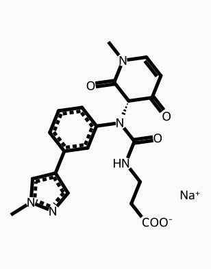 CN1C=CC(=O)[C@H](N(C(=O)NCCC(=O)[O-])c2cccc(-c3cnn(C)c3)c2)C1=O.[Na+]